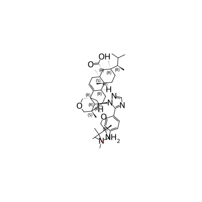 CC(C)[C@@H](C)[C@@]1(C)CC[C@]2(C)[C@H]3CC[C@@H]4[C@@]5(COC[C@@]4(C)[C@@H](OC[C@](C)(N)C(C)(C)C)[C@H](n4ncnc4-c4ccc(CN(C)C)cc4)C5)C3=CC[C@@]2(C)[C@@H]1C(=O)O